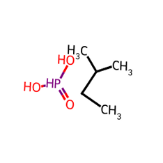 CCC(C)C.O=[PH](O)O